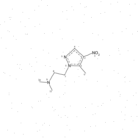 Cc1c([N+](=O)[O-])cnn1CCN(C)C